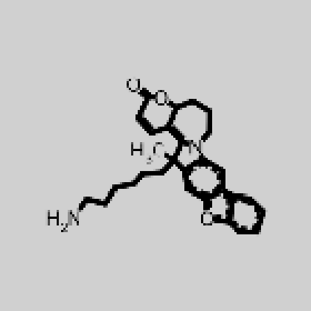 CC1(CCCCCCN)C2=C3C=CC(=O)OC3CCCN2c2cc3c(cc21)oc1ccccc13